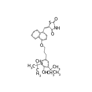 CC(C)(C)c1cc(CCCOc2ccc(C=C3SC(=O)NC3=O)c3ccccc23)cc(C(C)(C)C)c1O